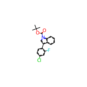 CC(C)(C)OC(=O)n1cc(-c2ccc(Cl)cc2F)c2ccccc21